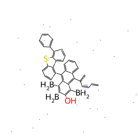 Bc1c(O)c(B)c2c(C(=C)/C=C\C=C)c3ccccc3c(-c3cccc4sc5c(-c6ccccc6)cccc5c34)c2c1B